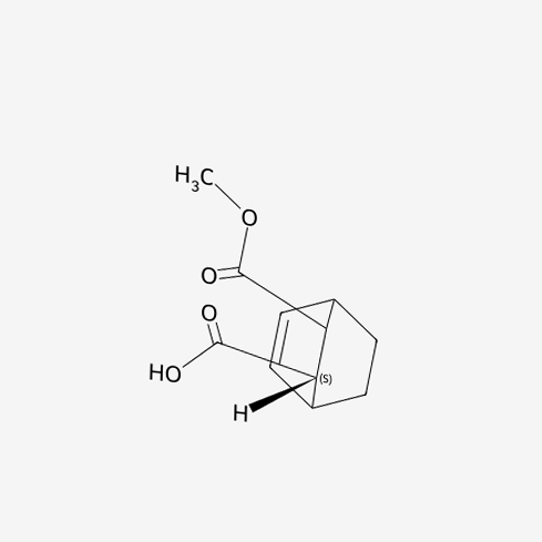 COC(=O)C1C2C=CC(CC2)[C@@H]1C(=O)O